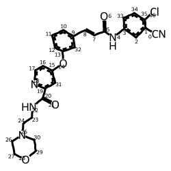 N#Cc1cc(NC(=O)C=Cc2cccc(Oc3ccnc(C(=O)NCCN4CCOCC4)c3)c2)ccc1Cl